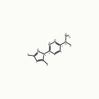 Cc1cc(C)n(-c2ccc(N(C)N)nn2)n1